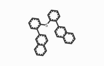 c1ccc(-c2ccc3ccccc3c2)c(Sc2ccccc2-c2ccc3ccccc3c2)c1